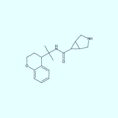 CC(C)(NC(=O)C1C2CNCC21)C1CCOc2ccccc21